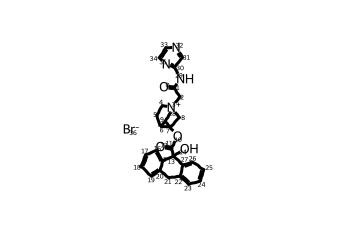 O=C(C[N+]12CCC(CC1)C(OC(=O)C1(O)c3ccccc3Cc3ccccc31)C2)Nc1cnccn1.[Br-]